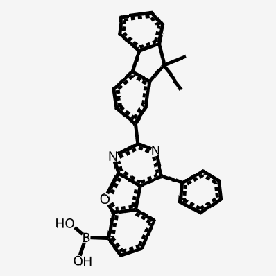 CC1(C)c2ccccc2-c2ccc(-c3nc(-c4ccccc4)c4c(n3)oc3c(B(O)O)cccc34)cc21